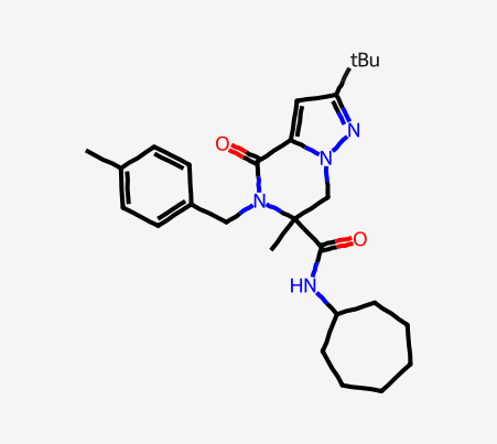 Cc1ccc(CN2C(=O)c3cc(C(C)(C)C)nn3CC2(C)C(=O)NC2CCCCCC2)cc1